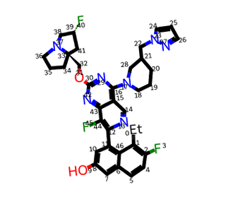 CCc1c(F)ccc2cc(O)cc(-c3ncc4c(N5CCCC(Cn6cccn6)C5)nc(OC[C@@]56CCCN5C[C@H](F)C6)nc4c3F)c12